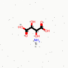 N.O=C(O)C(O)C(O)C(=O)O.[Ti]